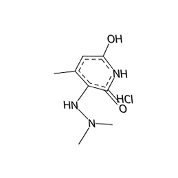 Cc1cc(O)[nH]c(=O)c1NN(C)C.Cl